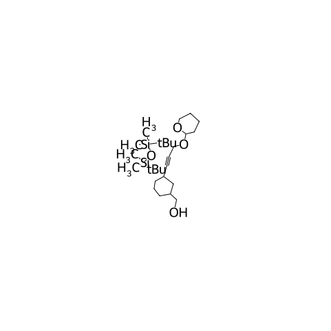 CC(C)(C)[Si](C)(C)O[Si](C)(C)C(C)(C)C.OCC1CCCC(C#CCOC2CCCCO2)C1